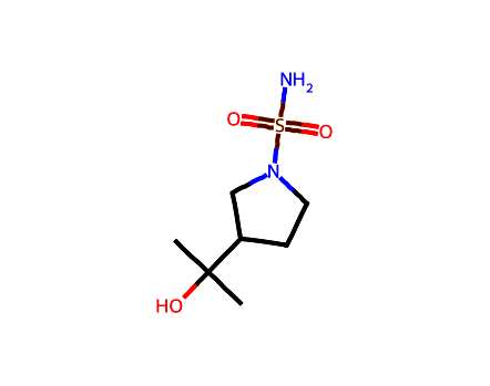 CC(C)(O)C1CCN(S(N)(=O)=O)C1